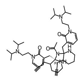 C#CCC1CCCNC1(Cc1cccn(CCN(C(C)C)C(C)C)c1=O)N(C(C)=O)[C@@]1(Cc2cccn(CCN(C(C)C)C(C)C)c2=O)NCCCC1CC#C